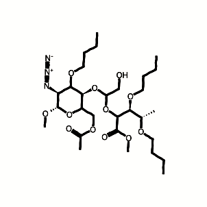 CCCCOC1[C@@H](OC(CO)OC(C(=O)OC)[C@@H](OCCCC)[C@H](C)OCCCC)C(COC(C)=O)O[C@H](OC)[C@H]1N=[N+]=[N-]